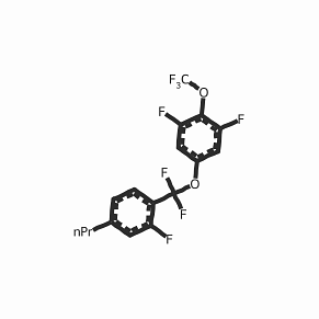 CCCc1ccc(C(F)(F)Oc2cc(F)c(OC(F)(F)F)c(F)c2)c(F)c1